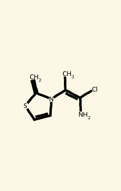 C=C1SC=CN1/C(C)=C(\N)Cl